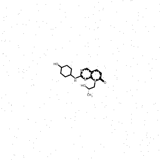 C[C@H](O)Cn1c(=O)ccc2cnc(NC3CCC(O)CC3)nc21